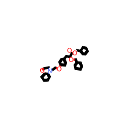 O=C(OCc1ccccc1)C(Cc1ccc(OCCN2CCOc3ccccc32)cc1)OCc1ccccc1